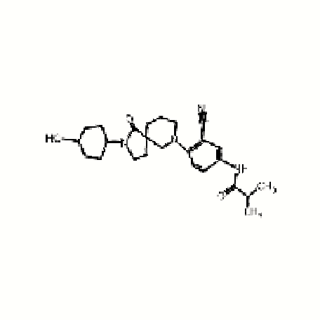 CC(C)C(=O)Nc1ccc(N2CCCC3(CCN(C4CCC(O)CC4)C3=O)C2)c(C#N)c1